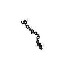 C[C@H]1CN(c2ccc3c(c2)C(=O)N(C2CCC(=O)NC2=O)C3=O)CCN1CC1CCN(c2ccc(C(=O)NC3CCC(Oc4ccc(C#N)c5ncccc45)CC3)cc2F)CC1